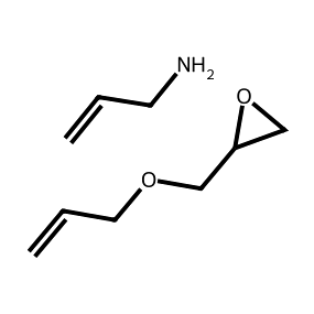 C=CCN.C=CCOCC1CO1